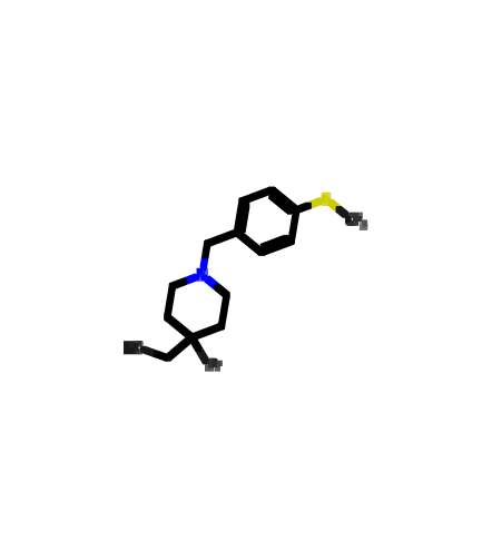 CC(C)C1(CC#N)CCN(Cc2ccc(SC(F)(F)F)cc2)CC1